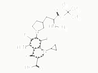 CNC(CC1CCN(c2c(F)c(N)c3c(=O)c(C(=O)O)cn(C4CC4)c3c2F)C1)C(=O)OC(C)(C)C